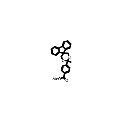 COC(=O)c1ccc(C2(C)OCC3(CO2)c2ccccc2-c2ccccc23)cc1